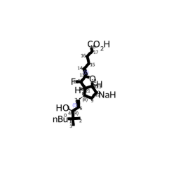 CCCCC(C)(C)[C@H](O)/C=C/[C@H]1CC[C@@H]2O/C(=C\CCCC(=O)O)C(F)[C@@H]21.[NaH]